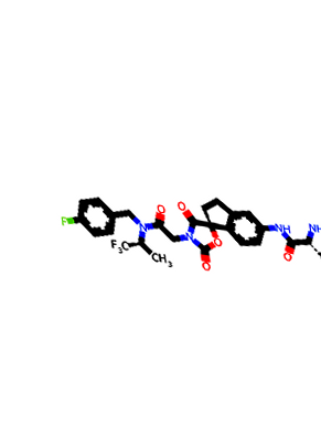 CC(C)[C@@H](N)C(=O)Nc1ccc2c(c1)CC[C@]21OC(=O)N(CC(=O)N(Cc2ccc(F)cc2)[C@@H](C)C(F)(F)F)C1=O